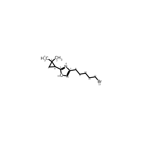 CC1(C)CC1c1nc(CCCCCBr)co1